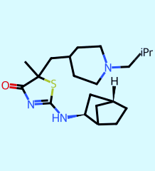 CC(C)CN1CCC(CC2(C)SC(N[C@H]3C[C@@H]4CCC3C4)=NC2=O)CC1